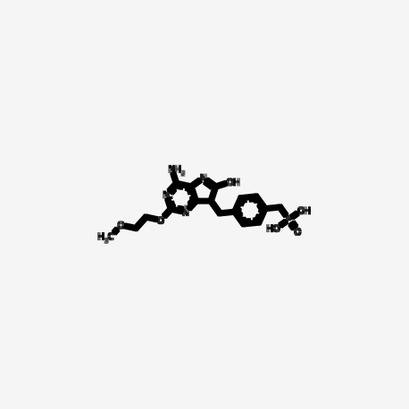 COCCOc1nc(N)c2c(n1)C(Cc1ccc(CP(=O)(O)O)cc1)C(O)=N2